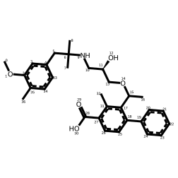 COc1cc(CC(C)(C)NC[C@@H](O)COC(C)c2c(-c3ccccc3)ccc(C(=O)O)c2C)ccc1C